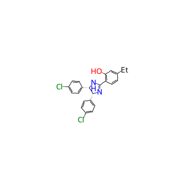 CCc1ccc(C2=N[C@H](c3ccc(Cl)cc3)[C@H](c3ccc(Cl)cc3)N2)c(O)c1